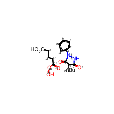 CCCCC1C(=O)NN(c2ccccc2)C1=O.O=C(O)CCCC(=O)OO